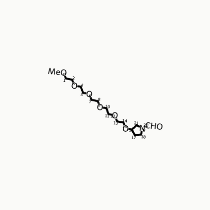 COCCOCCOCCOCCOCCOC1CCN(C=O)C1